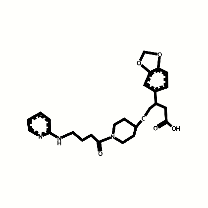 O=C(O)CC(CCC1CCN(C(=O)CCCNc2ccccn2)CC1)c1ccc2c(c1)OCO2